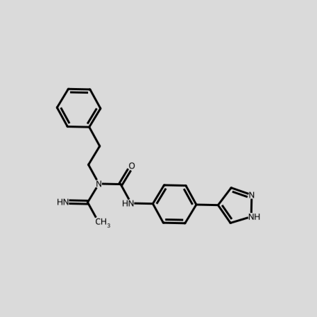 CC(=N)N(CCc1ccccc1)C(=O)Nc1ccc(-c2cn[nH]c2)cc1